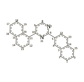 c1ccc2cc(-c3nccc(-c4cccc5ccccc45)n3)ccc2c1